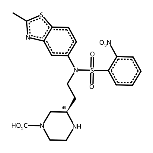 Cc1nc2cc(N(CC[C@@H]3CN(C(=O)O)CCN3)S(=O)(=O)c3ccccc3[N+](=O)[O-])ccc2s1